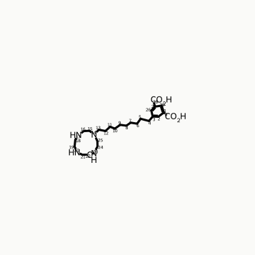 O=C(O)c1cc(CCCCCCCCCCN2CCNCCNCCNCC2)cc(C(=O)O)c1